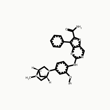 CC(C)Oc1cc(N2C[C@@H]3C[C@H]2CN3C)ccc1Nc1ncc2sc(C(N)=O)c(-c3ccccc3)c2n1